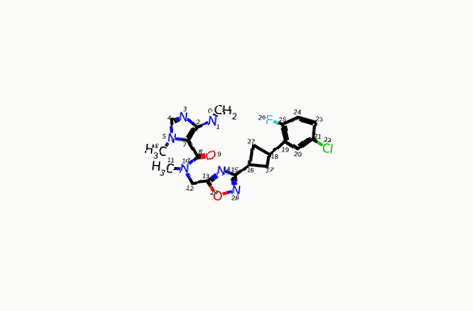 C=Nc1ncn(C)c1C(=O)N(C)Cc1nc(C2CC(c3cc(Cl)ccc3F)C2)no1